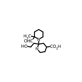 CC1(C=O)CCCCN1C1(CCO)CC(C(=O)O)CC[N]1